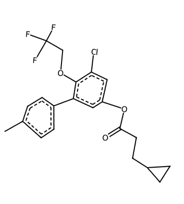 Cc1ccc(-c2cc(OC(=O)CCC3CC3)cc(Cl)c2OCC(F)(F)F)cc1